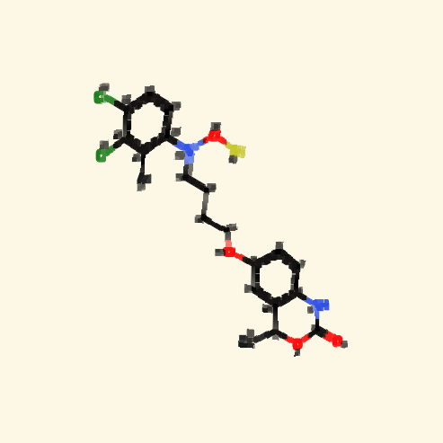 CCC1OC(=O)Nc2ccc(OCCCC=[N+](OS)c3ccc(Cl)c(Cl)c3C(C)=O)cc21